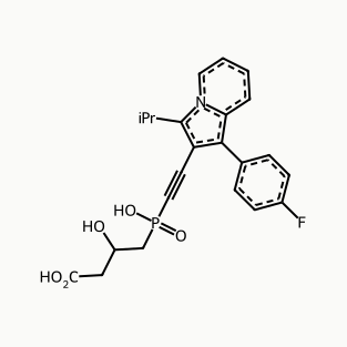 CC(C)c1c(C#CP(=O)(O)CC(O)CC(=O)O)c(-c2ccc(F)cc2)c2ccccn12